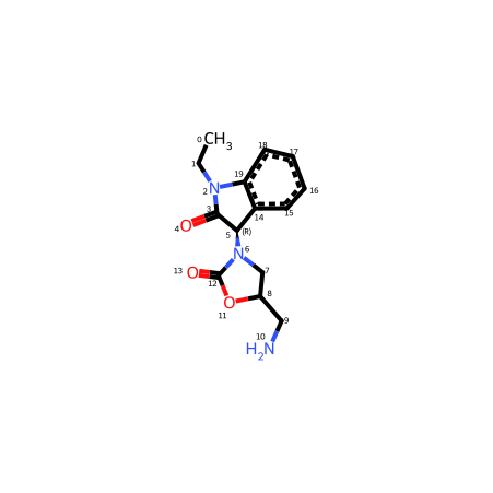 CCN1C(=O)[C@H](N2CC(CN)OC2=O)c2ccccc21